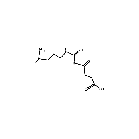 CC(N)CCCNC(=N)NC(=O)CCC(=O)O